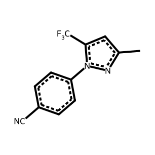 Cc1cc(C(F)(F)F)n(-c2ccc(C#N)cc2)n1